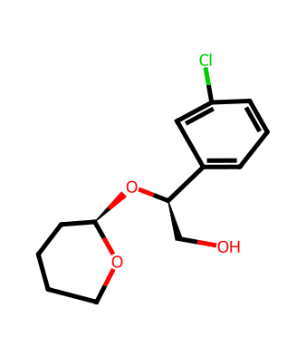 OC[C@@H](O[C@@H]1CCCCO1)c1cccc(Cl)c1